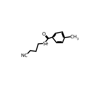 Cc1ccc(C(=O)[Se]CCCC#N)cc1